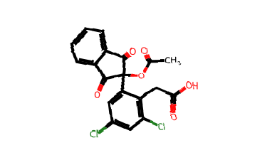 CC(=O)OC1(c2cc(Cl)cc(Cl)c2CC(=O)O)C(=O)c2ccccc2C1=O